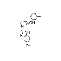 Cc1ccc(C[C@H]2CCN(Cc3nc4cc(O)ccc4[nH]3)C[C@@H]2O)cc1